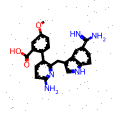 COc1ccc(-c2ccc(N)nc2Cc2c[nH]c3ccc(C(=N)N)cc23)c(C(=O)O)c1